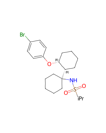 CC(C)S(=O)(=O)NC1([C@H]2CCCC[C@H]2Oc2ccc(Br)cc2)CCCCC1